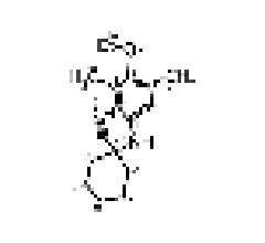 C#CC1(Nc2cc(C)c(OCC)c(C)c2)CCCCC1